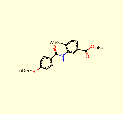 CCCCCCCCCCOc1ccc(C(=O)Nc2cc(C(=O)OCCCC)ccc2SC)cc1